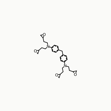 c1cc(N(CCC2CO2)CCC2CO2)ccc1Cc1ccc(N(CCC2CO2)CCC2CO2)cc1